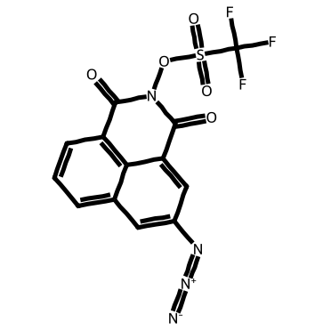 [N-]=[N+]=Nc1cc2c3c(cccc3c1)C(=O)N(OS(=O)(=O)C(F)(F)F)C2=O